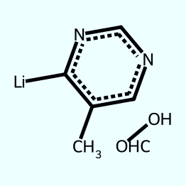 O=CO.[Li][c]1ncncc1C